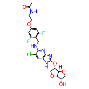 CC(=O)NCCOc1cc(F)c(CNc2nc3nc(O[C@@H]4COC5[C@H](O)CO[C@@H]54)[nH]c3cc2Cl)c(F)c1